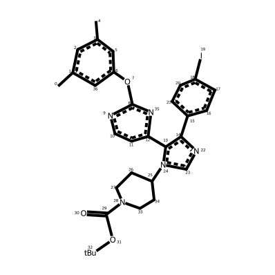 Cc1cc(C)cc(Oc2nccc(-c3c(-c4ccc(I)cc4)ncn3C3CCN(C(=O)OC(C)(C)C)CC3)n2)c1